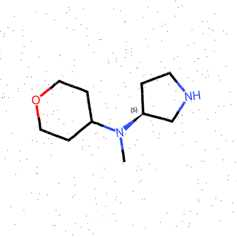 CN(C1CCOCC1)[C@H]1CCNC1